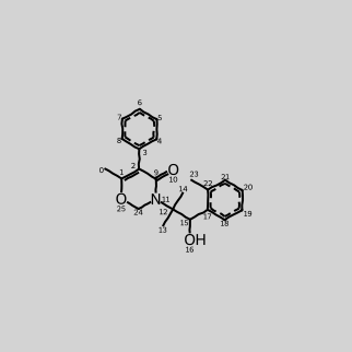 CC1=C(c2ccccc2)C(=O)N(C(C)(C)C(O)c2ccccc2C)CO1